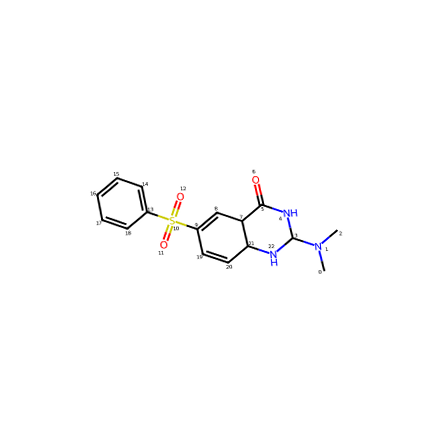 CN(C)C1NC(=O)C2C=C(S(=O)(=O)c3ccccc3)C=CC2N1